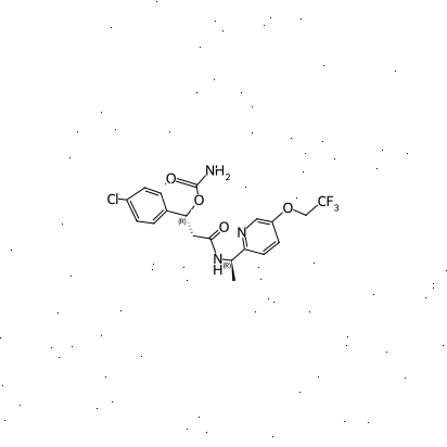 C[C@@H](NC(=O)C[C@@H](OC(N)=O)c1ccc(Cl)cc1)c1ccc(OCC(F)(F)F)cn1